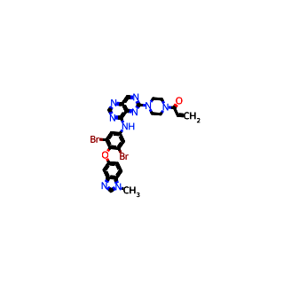 C=CC(=O)N1CCN(c2ncc3ncnc(Nc4cc(Br)c(Oc5ccc6c(c5)ncn6C)c(Br)c4)c3n2)CC1